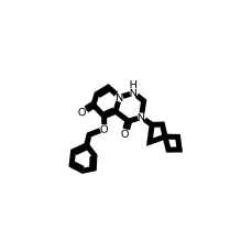 O=C1c2c(OCc3ccccc3)c(=O)ccn2NCN1C1CC2(CCC2)C1